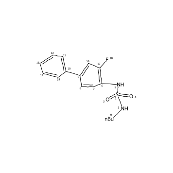 CCCCNS(=O)(=O)Nc1ccc(-c2ccccc2)cc1F